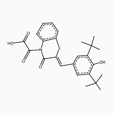 CC(C)(C)c1cc(C=C2Sc3ccccc3N(C(=O)C(=O)O)C2=O)cc(C(C)(C)C)c1O